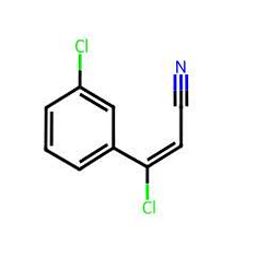 N#C/C=C(/Cl)c1cccc(Cl)c1